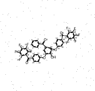 O=C(c1ccccc1)c1cc(Oc2ccc(C(=O)c3c(F)c(F)c(F)c(F)c3F)cc2)c(O)c(Oc2ccc(C(=O)c3c(F)c(F)c(F)c(F)c3F)cc2)c1